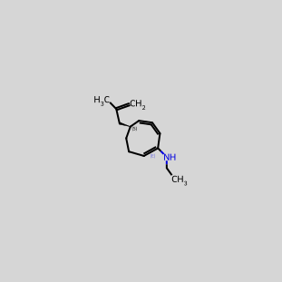 C=C(C)C[C@H]1C=C=C/C(NCC)=C\CC1